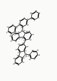 c1ccc(-c2ccc(-c3ccccc3)c(-n3c4ccccc4c4c(-c5ccc6c7ccccc7n(-c7ccccc7)c6c5)cccc43)c2)cc1